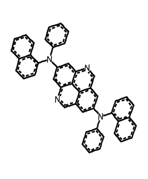 c1ccc(N(c2cc3cnc4cc(N(c5ccccc5)c5cccc6ccccc56)cc5ncc(c2)c3c45)c2cccc3ccccc23)cc1